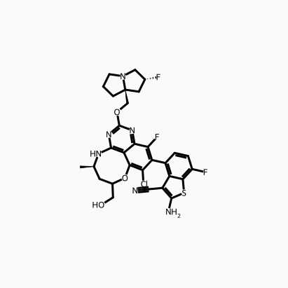 C[C@@H]1CC(CO)Oc2c(Cl)c(-c3ccc(F)c4sc(N)c(C#N)c34)c(F)c3nc(OC[C@@]45CCCN4C[C@H](F)C5)nc(c23)N1